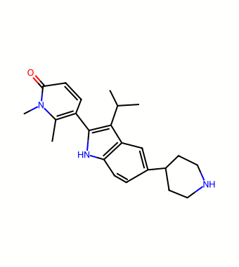 Cc1c(-c2[nH]c3ccc(C4CCNCC4)cc3c2C(C)C)ccc(=O)n1C